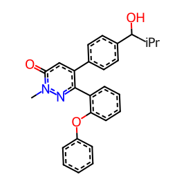 CC(C)C(O)c1ccc(-c2cc(=O)n(C)nc2-c2ccccc2Oc2ccccc2)cc1